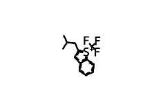 CC(C)Cc1cc2ccccc2[s+]1C(F)(F)F